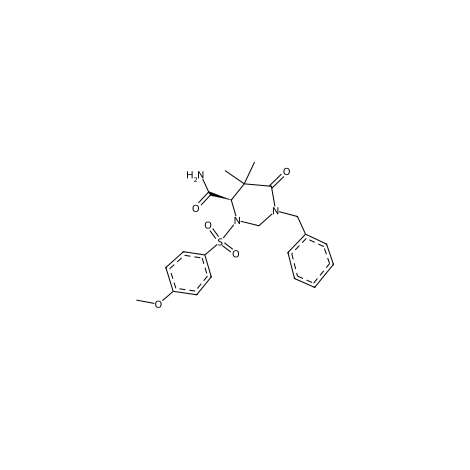 COc1ccc(S(=O)(=O)N2CN(Cc3ccccc3)C(=O)C(C)(C)[C@@H]2C(N)=O)cc1